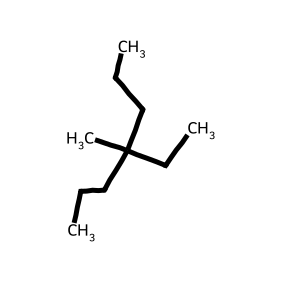 CCCC(C)(CC)CCC